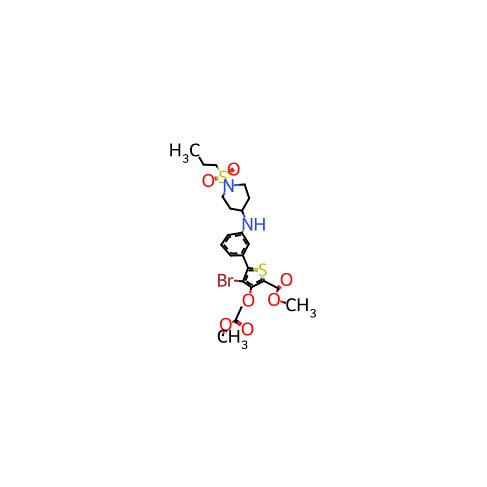 CCCS(=O)(=O)N1CCC(Nc2cccc(-c3sc(C(=O)OC)c(OCC(=O)OC)c3Br)c2)CC1